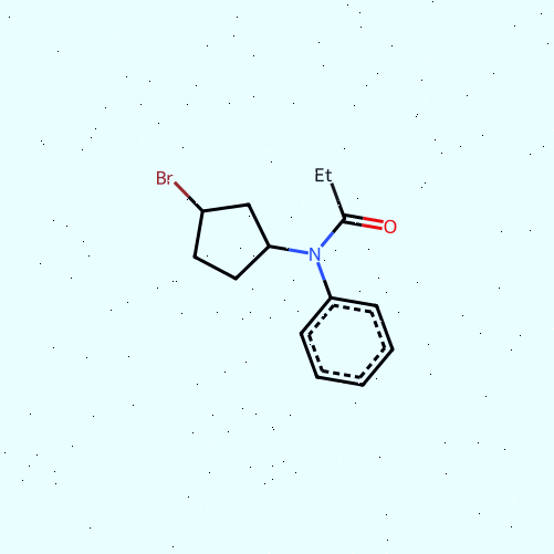 CCC(=O)N(c1ccccc1)C1CCC(Br)C1